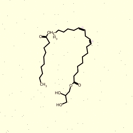 CCCCC/C=C\C/C=C\CCCCCCCC(=O)OCC(O)CO.CCCCCCCCCC(=O)O